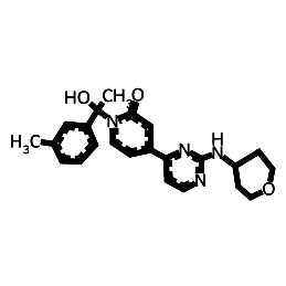 Cc1cccc(C(C)(O)n2ccc(-c3ccnc(NC4CCOCC4)n3)cc2=O)c1